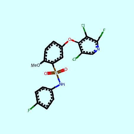 COc1ccc(Oc2c(Cl)cnc(F)c2Cl)cc1S(=O)(=O)Nc1ccc(F)cc1